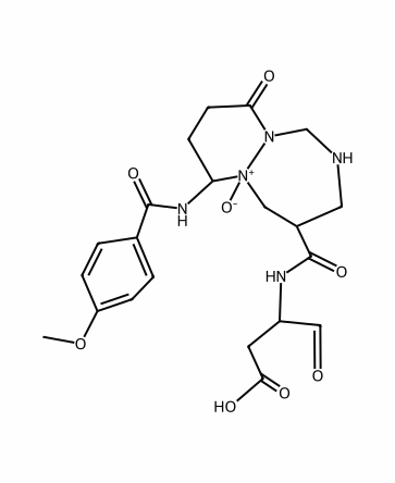 COc1ccc(C(=O)NC2CCC(=O)N3CNCC(C(=O)NC(C=O)CC(=O)O)C[N+]23[O-])cc1